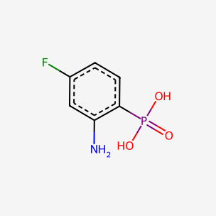 Nc1cc(F)ccc1P(=O)(O)O